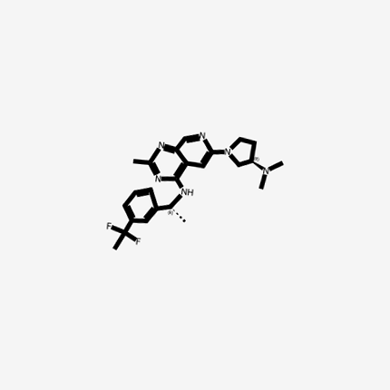 Cc1nc(N[C@H](C)c2cccc(C(C)(F)F)c2)c2cc(N3CC[C@@H](N(C)C)C3)ncc2n1